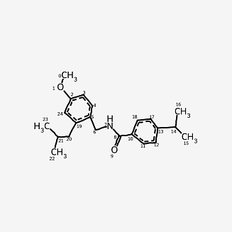 COc1ccc(CNC(=O)c2ccc(C(C)C)cc2)c(CC(C)C)c1